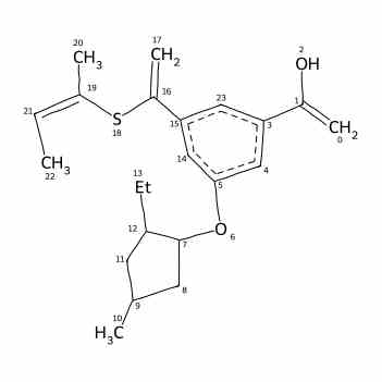 C=C(O)c1cc(OC2CC(C)CC2CC)cc(C(=C)S/C(C)=C\C)c1